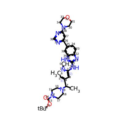 C=N/C(=C\C(=C/C)C(C)N1CCN(C(=O)OC(C)(C)C)CC1)Nc1nc2ccc(-c3cc(N4CCOCC4)ncn3)cc2[nH]1